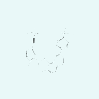 CC(Nc1c(Cl)cnc2ccc(-c3cnc(C(C)(C)O)nc3)cc12)c1cc(C#C[Si](C)(C)C)ccc1F